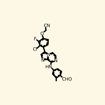 Cc1cc(Nc2nccn3c(-c4ccc(OCC#N)c(F)c4Cl)cnc23)ccc1C=O